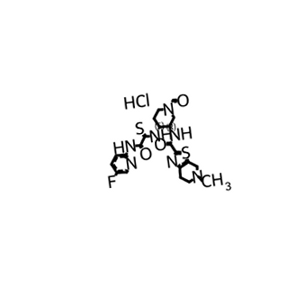 CN1CCc2nc(C(=O)N[C@@H]3CN(C=O)CC[C@@H]3NC(=S)C(=O)Nc3ccc(F)cn3)sc2C1.Cl